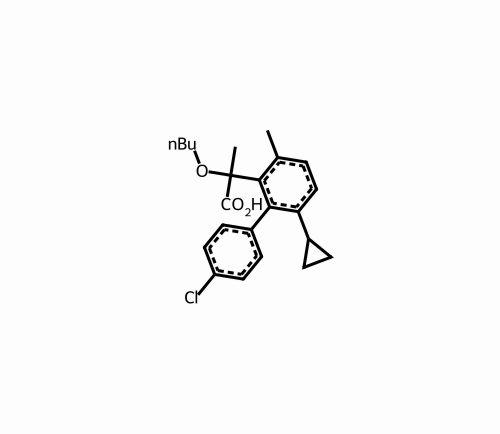 CCCCOC(C)(C(=O)O)c1c(C)ccc(C2CC2)c1-c1ccc(Cl)cc1